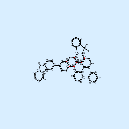 CC1(C)c2ccccc2-c2cc(N(c3ccc(-c4ccc5oc6ccccc6c5c4)cc3)c3cccc(-c4ccccc4)c3-c3ccccc3-c3ccccc3)ccc21